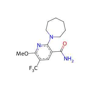 COc1nc(N2CCCCCC2)c(C(N)=O)cc1C(F)(F)F